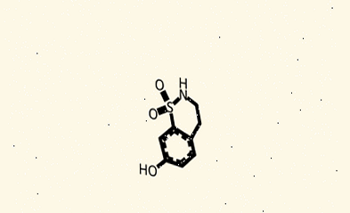 O=S1(=O)NCCc2ccc(O)cc21